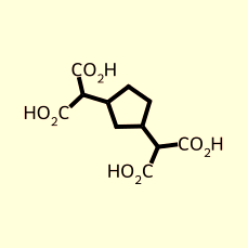 O=C(O)C(C(=O)O)C1CCC(C(C(=O)O)C(=O)O)C1